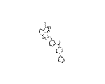 CC1C=CC=C2C(=O)NN=C(OCc3cccc(C(=O)N4CC=C(c5ccccc5)CC4)c3)C21